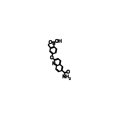 NC(=O)c1ccc2nc(Oc3ccc4c(c3)COB4O)ccc2c1